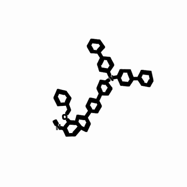 C=Nc1ccc2ccc(-c3ccc(-c4ccc(N(c5ccc(-c6ccccc6)cc5)c5ccc(-c6ccccc6)cc5)cc4)cc3)cc2c1OCc1ccccc1